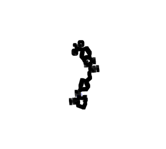 CS(=O)(=O)c1ccc2nc(NCCc3ccc(/N=C4/NCCCS4)cc3)sc2c1